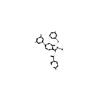 O=C(Nc1c(C(=O)O)n(Cc2cccc(Cl)c2)c2cc(-c3cc(F)cc(F)c3)ccc12)c1ccc(Cl)nc1